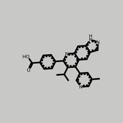 Cc1cncc(-c2c(C(C)C)c(-c3ccc(C(=O)O)cc3)nc3cc4[nH]ncc4cc23)c1